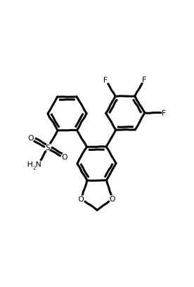 NS(=O)(=O)c1ccccc1-c1cc2c(cc1-c1cc(F)c(F)c(F)c1)OCO2